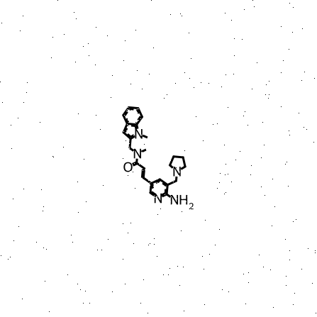 CN(Cc1cc2ccccc2n1C)C(=O)/C=C/c1cnc(N)c(CN2CCCC2)c1